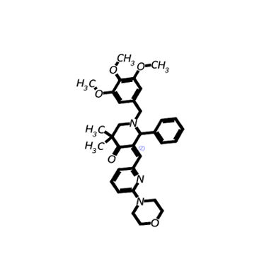 COc1cc(CN2CC(C)(C)C(=O)/C(=C\c3cccc(N4CCOCC4)n3)C2c2ccccc2)cc(OC)c1OC